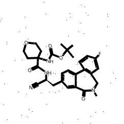 CN1Cc2cc(F)ccc2-c2ccc(C[C@@H](C#N)NC(=O)C3(NC(=O)OC(C)(C)C)CCOCC3)cc2C1=O